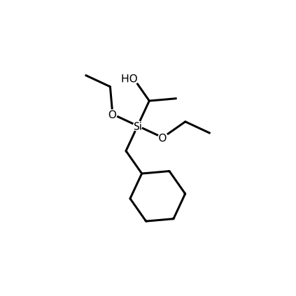 CCO[Si](CC1CCCCC1)(OCC)C(C)O